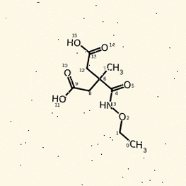 CCONC(=O)C(C)(CC(=O)O)CC(=O)O